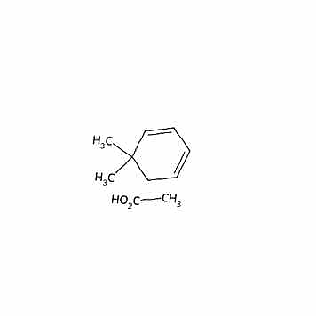 CC(=O)O.CC1(C)C=CC=CC1